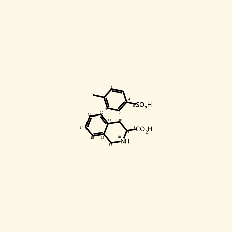 Cc1ccc(S(=O)(=O)O)cc1.O=C(O)C1Cc2ccccc2CN1